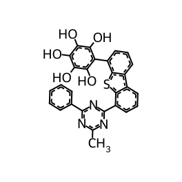 Cc1nc(-c2ccccc2)nc(-c2cccc3c2sc2c(-c4c(O)c(O)c(O)c(O)c4O)cccc23)n1